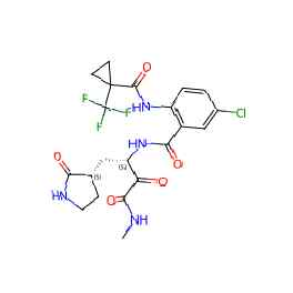 CNC(=O)C(=O)[C@H](C[C@@H]1CCNC1=O)NC(=O)c1cc(Cl)ccc1NC(=O)C1(C(F)(F)F)CC1